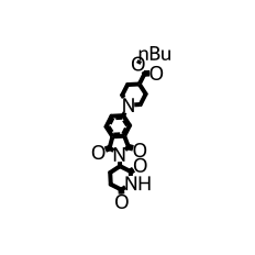 CCCCOC(=O)C1CCN(c2ccc3c(c2)C(=O)N(C2CCC(=O)NC2=O)C3=O)CC1